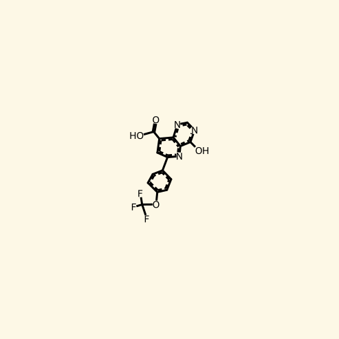 O=C(O)c1cc(-c2ccc(OC(F)(F)F)cc2)nc2c(O)ncnc12